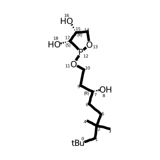 CC(C)(C)CC(C)(C)CC[C@@H](O)CCOP1OC[C@@H](O)[C@H]1O